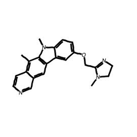 Cc1c2ccncc2cc2c3cc(OCC4=NCCN4C)ccc3n(C)c12